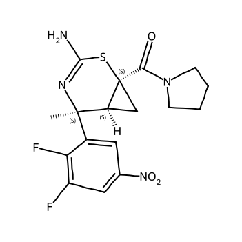 C[C@]1(c2cc([N+](=O)[O-])cc(F)c2F)N=C(N)S[C@@]2(C(=O)N3CCCC3)C[C@H]21